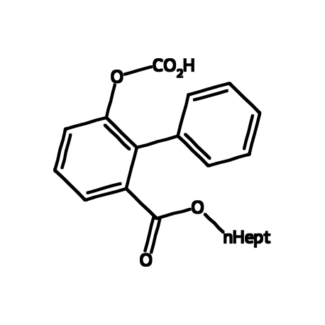 CCCCCCCOC(=O)c1cccc(OC(=O)O)c1-c1ccccc1